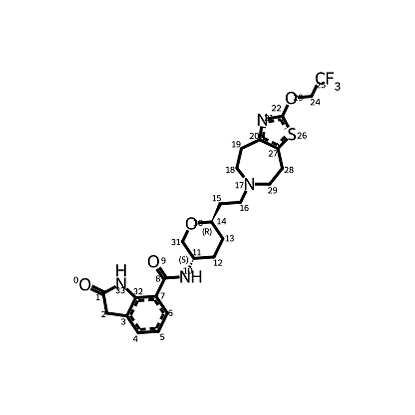 O=C1Cc2cccc(C(=O)N[C@H]3CC[C@H](CCN4CCc5nc(OCC(F)(F)F)sc5CC4)OC3)c2N1